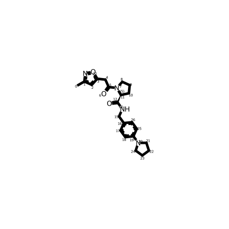 Cc1cc(CC(=O)N2CCC[C@H]2C(=O)NCc2ccc(N3CCCC3)cc2)on1